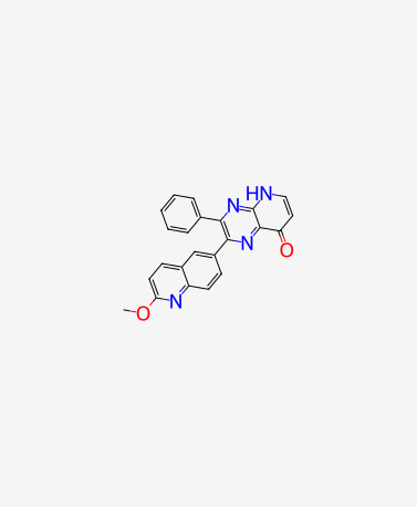 COc1ccc2cc(-c3nc4c(=O)cc[nH]c4nc3-c3ccccc3)ccc2n1